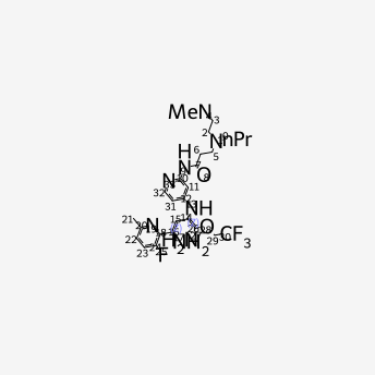 CCCN(CCNC)CCC(=O)Nc1cc(NC(/C=C(\N)c2nc(C)ccc2F)=C(/N)OCC(F)(F)F)ccn1